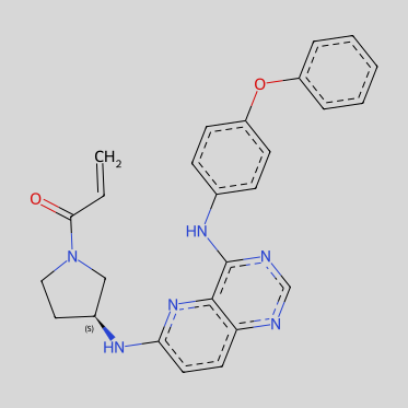 C=CC(=O)N1CC[C@H](Nc2ccc3ncnc(Nc4ccc(Oc5ccccc5)cc4)c3n2)C1